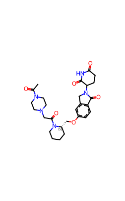 CC(=O)N1CCN(CC(=O)N2CCCC[C@H]2COc2ccc3c(c2)CN(C2CCC(=O)NC2=O)C3=O)CC1